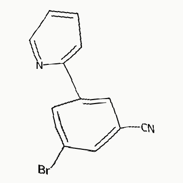 N#Cc1cc(Br)cc(-c2ccccn2)c1